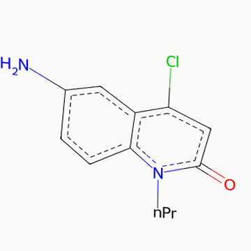 CCCn1c(=O)cc(Cl)c2cc(N)ccc21